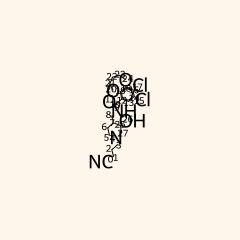 N#CCCCN1CC[C@@H](CNC(=O)c2cc(Cl)c(Cl)c3c2OCCCO3)[C@H](O)C1